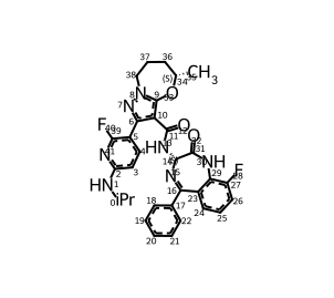 CC(C)Nc1ccc(-c2nn3c(c2C(=O)N[C@H]2N=C(c4ccccc4)c4cccc(F)c4NC2=O)O[C@@H](C)CCC3)c(F)n1